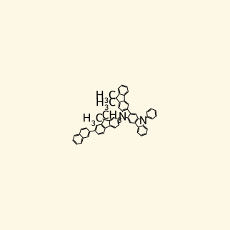 CC1(C)c2cc(-c3ccc4ccccc4c3)ccc2-c2ccc(-n3c4cc5c(cc4c4cc6c(cc43)c3ccccc3n6-c3ccccc3)-c3ccccc3C5(C)C)cc21